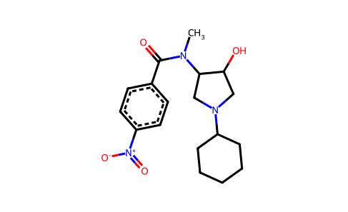 CN(C(=O)c1ccc([N+](=O)[O-])cc1)C1CN(C2CCCCC2)CC1O